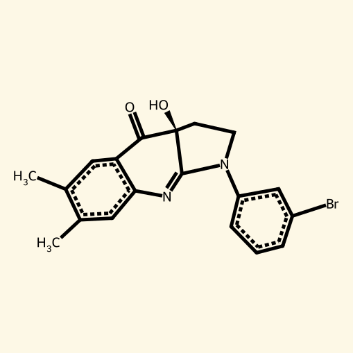 Cc1cc2c(cc1C)C(=O)[C@]1(O)CCN(c3cccc(Br)c3)C1=N2